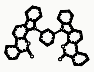 O=c1oc2c(ccc3c4ccccc4n(-c4cccc(-n5c6ccccc6c6ccc7c8ccccc8c(=O)oc7c65)c4)c32)c2ccccc12